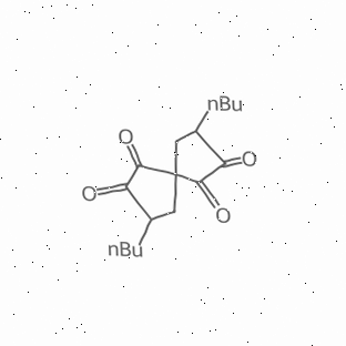 CCCCC1CC2(CC(CCCC)C(=O)C2=O)C(=O)C1=O